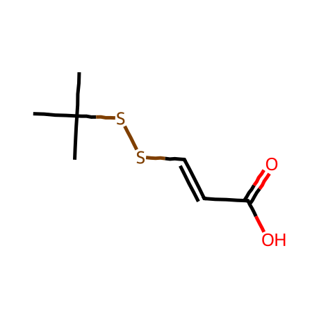 CC(C)(C)SSC=CC(=O)O